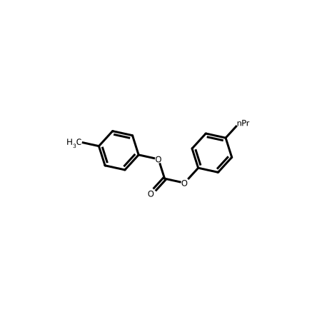 CCCc1ccc(OC(=O)Oc2ccc(C)cc2)cc1